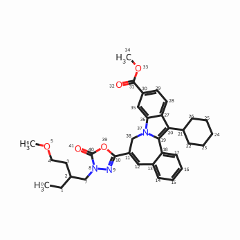 CCC(CCOC)Cn1nc(C2=Cc3ccccc3-c3c(C4CCCCC4)c4ccc(C(=O)OC)cc4n3C2)oc1=O